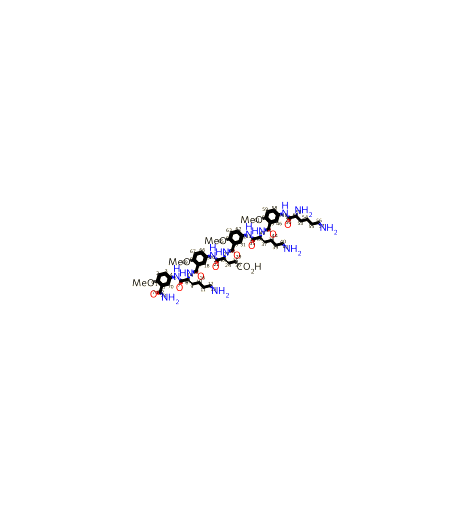 COc1ccc(NC(=O)[C@H](CCCCN)NC(=O)c2cc(NC(=O)[C@H](CCC(=O)O)NC(=O)c3cc(NC(=O)[C@H](CCCCN)NC(=O)c4cc(NC(=O)[C@@H](N)CCCCN)ccc4OC)ccc3OC)ccc2OC)cc1C(N)=O